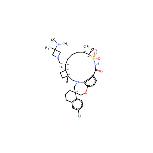 C[C@@H]1[C@@H](C)CCC[C@@H](CN2CC(C)(N(C)C)C2)[C@@H]2CC[C@H]2CN2C[C@@]3(CCCc4cc(Cl)ccc43)COc3ccc(cc32)C(=O)NS1(=O)=O